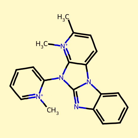 Cc1ccc2c(n(-c3cccc[n+]3C)c3nc4ccccc4n23)[n+]1C